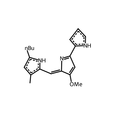 CCCCc1cc(C)c(C=C2N=C(c3ccc[nH]3)C=C2OC)[nH]1